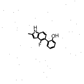 Cc1cc2c(F)c(-c3ccccc3O)ccc2[nH]1